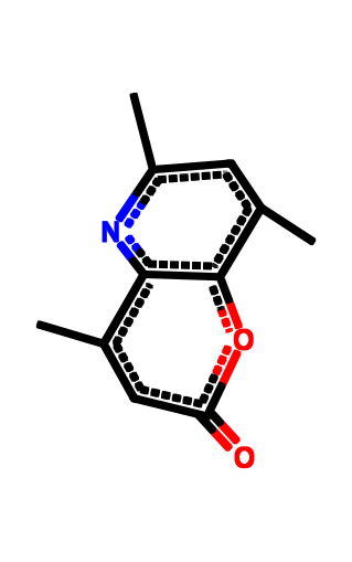 Cc1cc(C)c2oc(=O)cc(C)c2n1